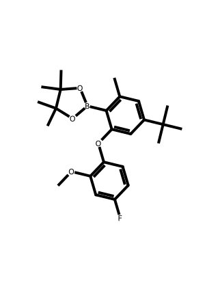 COc1cc(F)ccc1Oc1cc(C(C)(C)C)cc(C)c1B1OC(C)(C)C(C)(C)O1